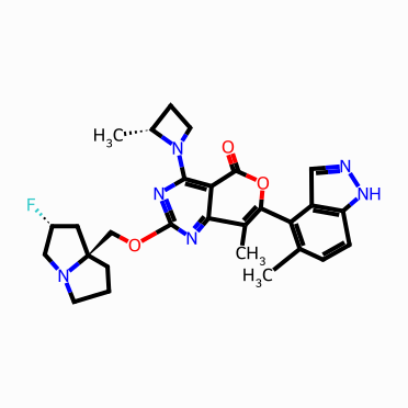 Cc1ccc2[nH]ncc2c1-c1oc(=O)c2c(N3CC[C@H]3C)nc(OC[C@@]34CCCN3C[C@H](F)C4)nc2c1C